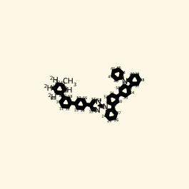 [2H]c1c([2H])c(C)c([2H])c(-c2cccc(-c3ccc(-c4cnc(-n5c6ccccc6c6cc(-c7ccc8c9ccccc9n(-c9ccccc9)c8c7)ccc65)nc4)cc3)c2)c1[2H]